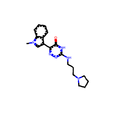 Cn1cc(-c2nnc(NCCCN3CCCC3)[nH]c2=O)c2ccccc21